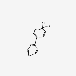 [Li][C]1([Li])C=CC(c2ccccc2)=CC1